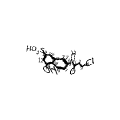 O=C(CCCl)Nc1ccc2c(O)cc(S(=O)(=O)O)cc2c1